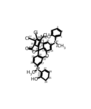 COc1ccccc1N(C)c1ccc2c(c1)Oc1cc(N(C)C3=C(O)CCC=C3)ccc1C21OC(=O)c2c(Cl)c(Cl)c(Cl)c(Cl)c21